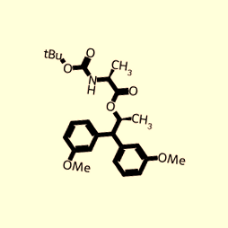 COc1cccc(C(c2cccc(OC)c2)[C@H](C)OC(=O)[C@H](C)NC(=O)OC(C)(C)C)c1